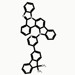 CC1(C)c2ccccc2-c2cc(-c3ccnc(-n4c5ccccc5c5ccc6c(c7ccccc7c7nc8ccccc8n67)c54)c3)ccc21